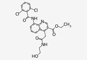 CCOC(=O)c1cnc2c(NC(=O)c3c(Cl)cccc3Cl)cccc2c1CC(=O)NCCO